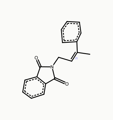 C/C(=C/CN1C(=O)c2ccccc2C1=O)c1ccccc1